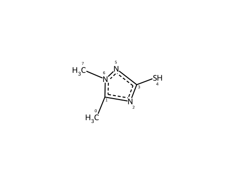 Cc1nc(S)nn1C